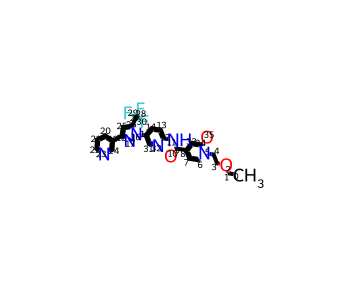 CCOCCn1ccc(C(=O)Nc2ccc(-n3nc(-c4cccnc4)cc3C(F)(F)F)cn2)cc1=O